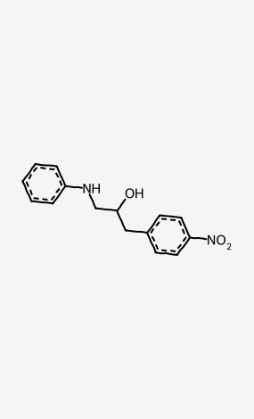 O=[N+]([O-])c1ccc(CC(O)CNc2ccccc2)cc1